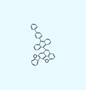 c1ccc(-c2ccc(-c3c4ccccc4c(-c4cc5cccc6oc7c8c(cc4c7c56)oc4ccccc48)c4ccccc34)cc2)cc1